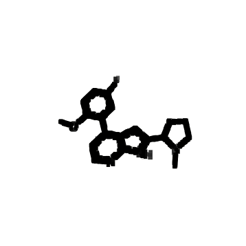 COc1ccc(F)cc1-c1ccnc2[nH]c(C3CCCN3C)cc12